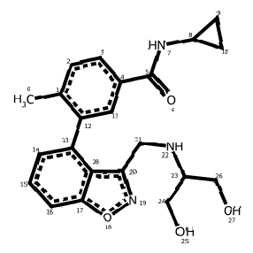 Cc1ccc(C(=O)NC2CC2)cc1-c1cccc2onc(CNC(CO)CO)c12